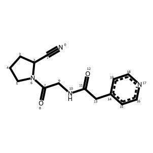 N#CC1CCCN1C(=O)CNC(=O)Cc1ccncc1